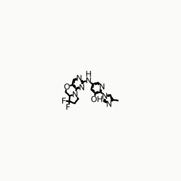 Cc1cn(-c2ncc(Nc3ncc4c(n3)N3CCC(F)(F)C3CO4)cc2O)cn1